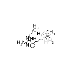 CCCCc1nc2c(N)nc3cccc(CCCCCN[C@@H](C)C(C)C)c3c2[nH]1